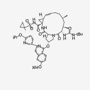 COc1ccc2c(O[C@@H]3C[C@H]4C(=O)N[C@]5(C(=O)NS(=O)(=O)C6(C)CC6)C[C@H]5/C=C\CC[C@@H](C)C[C@@H](C)[C@H](NC(=O)NC(C)(C)C)C(=O)N4C3)nc(-c3ccc(OC(C)C)nc3)cc2c1